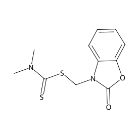 CN(C)C(=S)SCn1c(=O)oc2ccccc21